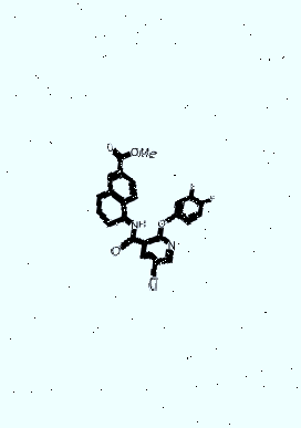 COC(=O)c1ccc2c(c1)CCCC2NC(=O)c1cc(Cl)cnc1Oc1ccc(F)c(F)c1